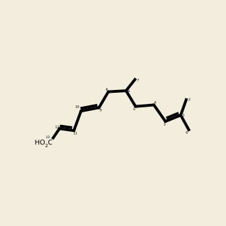 CC(C)=CCCC(C)CC=CC=CC(=O)O